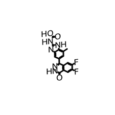 Cc1cc(-c2n[nH]c(=O)c3cc(F)c(F)cc23)cc2nc(NC(=O)O)[nH]c12